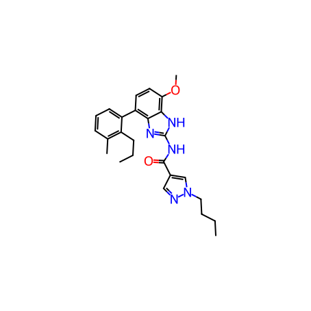 CCCCn1cc(C(=O)Nc2nc3c(-c4cccc(C)c4CCC)ccc(OC)c3[nH]2)cn1